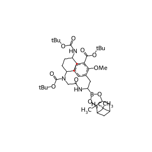 COc1c(CC(NC(=O)CN(C(=O)OC(C)(C)C)C2CCC(NC(=O)OC(C)(C)C)CC2)B2OC3CC4CC(C4(C)C)C3(C)O2)cccc1C(=O)OC(C)(C)C